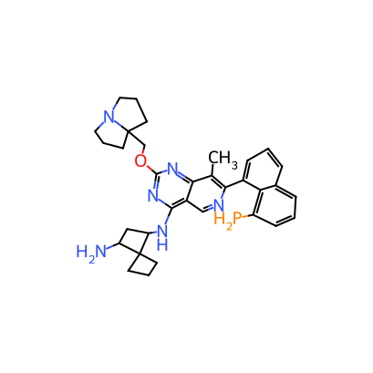 Cc1c(-c2cccc3cccc(P)c23)ncc2c(NC3CC(N)C34CCC4)nc(OCC34CCCN3CCC4)nc12